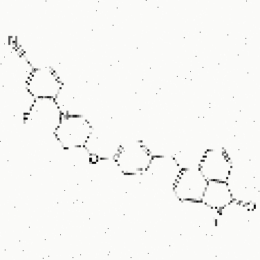 N#Cc1ccc(N2CCC(Oc3ccc(Cc4ccc5c6c(cccc46)C(=O)N5)cc3)CC2)c(F)c1